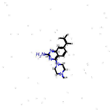 CC(C)=C(C)c1ccc2c(N3CCN(C)CC3)nc(N)nc2c1